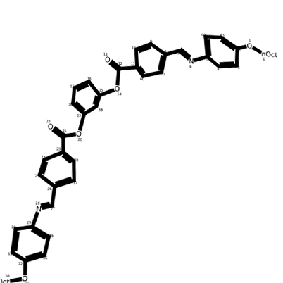 CCCCCCCCOc1ccc(N=Cc2ccc(C(=O)Oc3cccc(OC(=O)c4ccc(C=Nc5ccc(OCCCCCCCC)cc5)cc4)c3)cc2)cc1